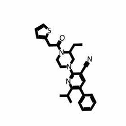 CCC1CN(c2nc(C(C)C)c(-c3ccccc3)cc2C#N)CCN1C(=O)Cc1cccs1